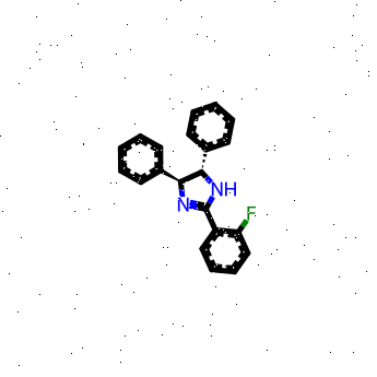 Fc1ccccc1C1=N[C@@H](c2ccccc2)[C@H](c2ccccc2)N1